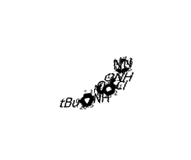 CC(C)(C)c1ccc(Nc2noc3c(C(=O)Nc4cncnc4)c(Cl)ccc23)cc1